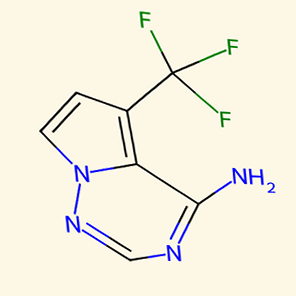 Nc1ncnn2ccc(C(F)(F)F)c12